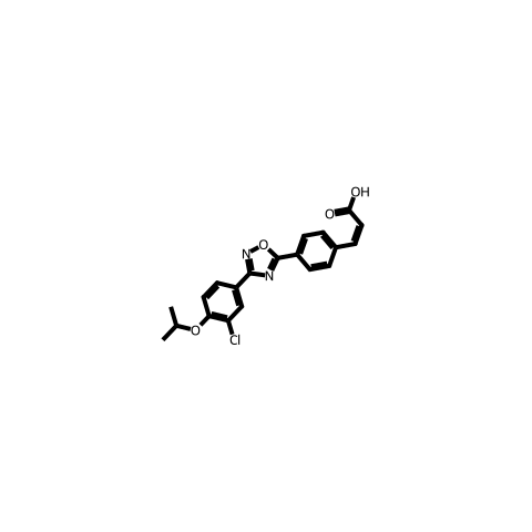 CC(C)Oc1ccc(-c2noc(-c3ccc(/C=C\C(=O)O)cc3)n2)cc1Cl